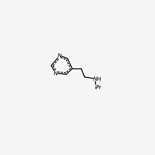 CC(C)NCCc1cncnc1